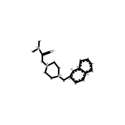 CN(C)C(=O)CN1CCN(Cc2ccc3ccccc3c2)CC1